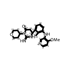 COc1ccncc1Nc1cccc2c1C[C@]21CC(=O)N(C2CCOCC2)C(=N)N1